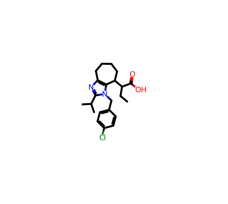 CCC(C(=O)O)C1CCCCc2nc(C(C)C)n(Cc3ccc(Cl)cc3)c21